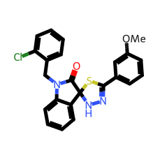 COc1cccc(C2=NNC3(S2)C(=O)N(Cc2ccccc2Cl)c2ccccc23)c1